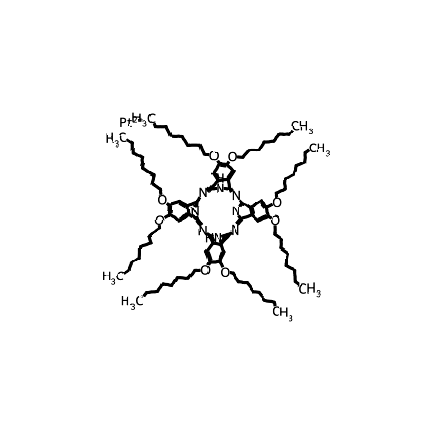 CCCCCCCCOc1cc2c(cc1OCCCCCCCC)-c1nc-2nc2[nH]c(nc3nc(nc4[nH]c(n1)c1cc(OCCCCCCCC)c(OCCCCCCCC)cc41)-c1cc(OCCCCCCCC)c(OCCCCCCCC)cc1-3)c1cc(OCCCCCCCC)c(OCCCCCCCC)cc21.[Pt+2]